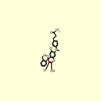 CN(c1ccc(CCC(=O)C(F)(F)F)cc1)c1cc2c(cc1Cl)C1(OOCc3ccccc31)c1cc(Cl)c(O)cc1O2